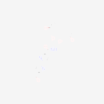 CC(C)C(=O)CCOCC(COCCC(=O)C(C)C)NC(=O)c1ccc(-c2ccc(C(=O)C(C)C)cn2)nc1